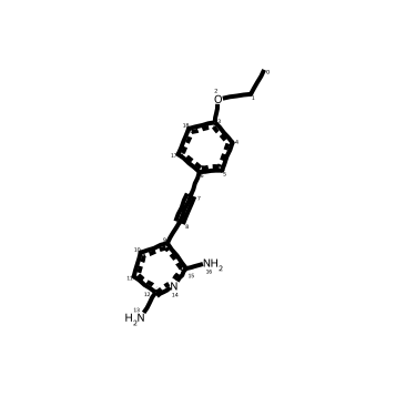 CCOc1ccc(C#Cc2ccc(N)nc2N)cc1